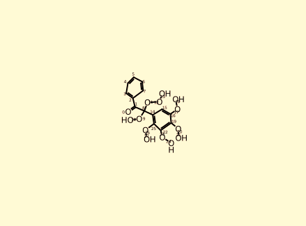 O=C(c1ccccc1)C(OO)(OOO)c1cc(OO)c(OO)c(OO)c1OO